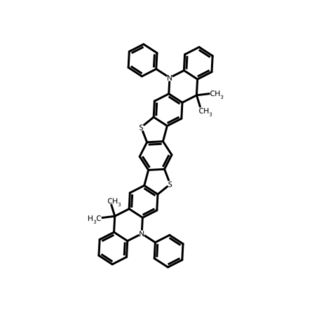 CC1(C)c2ccccc2N(c2ccccc2)c2cc3sc4cc5c(cc4c3cc21)sc1cc2c(cc15)C(C)(C)c1ccccc1N2c1ccccc1